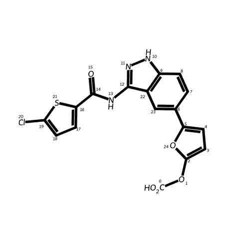 O=C(O)Oc1ccc(-c2ccc3[nH]nc(NC(=O)c4ccc(Cl)s4)c3c2)o1